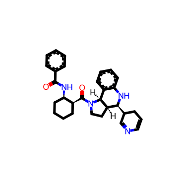 O=C(N[C@@H]1CCCC[C@@H]1C(=O)N1CC[C@@H]2[C@H](C3C=NC=CC3)Nc3ccccc3[C@@H]21)c1ccccc1